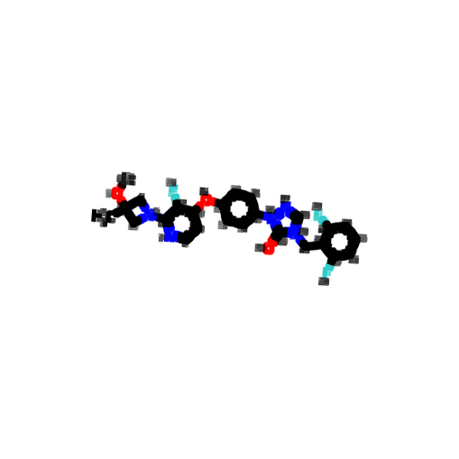 CCOC1(C)CN(c2nccc(Oc3ccc(-n4ncn(Cc5c(F)cccc5F)c4=O)cc3)c2F)C1